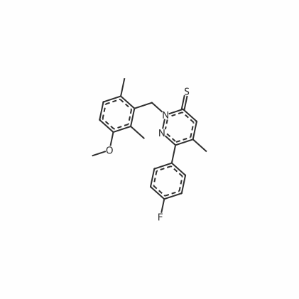 COc1ccc(C)c(Cn2nc(-c3ccc(F)cc3)c(C)cc2=S)c1C